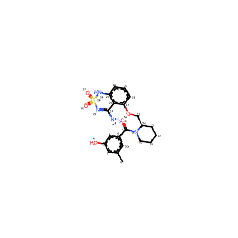 Cc1cc(O)cc(C(=O)N2CCCC[C@@H]2COc2cccc3c2C(N)=NS(=O)(=O)N3)c1